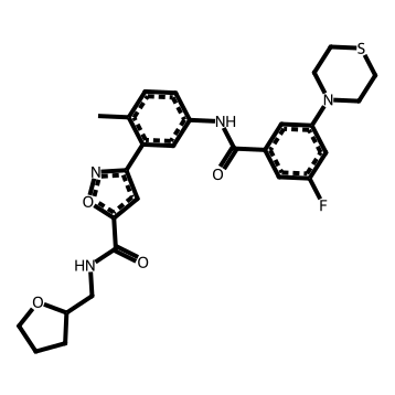 Cc1ccc(NC(=O)c2cc(F)cc(N3CCSCC3)c2)cc1-c1cc(C(=O)NCC2CCCO2)on1